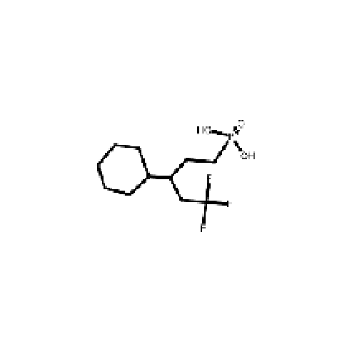 O=P(O)(O)CCC(CC(F)(F)F)C1CCCCC1